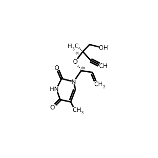 C#C[C@](C)(CO)O[C@H](C=C)n1cc(C)c(=O)[nH]c1=O